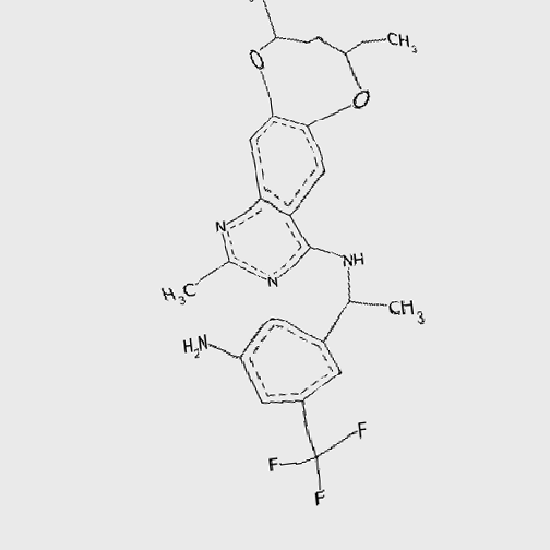 Cc1nc(NC(C)c2cc(N)cc(C(F)(F)F)c2)c2cc3c(cc2n1)OC(C)CC(C)O3